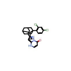 O=c1cc[nH]c2cc(C34CC5CC(C3)C(C3CC3)C(c3ccc(Cl)cc3Cl)(C5)C4)nn12